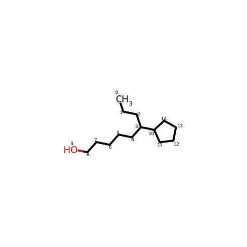 CCCC(CCCCCO)C1CCCC1